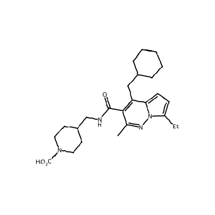 CCc1ccc2c(CC3CCCCC3)c(C(=O)NCC3CCN(C(=O)O)CC3)c(C)nn12